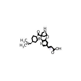 CN(C)C[C@H]1CC[C@H](C(=O)[C@@]2(Nc3ncc(/C=C/C(=O)O)cc3Cl)CCNC2)CC1